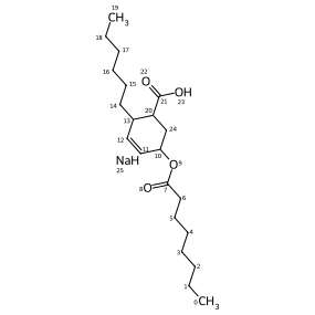 CCCCCCCC(=O)OC1C=CC(CCCCCC)C(C(=O)O)C1.[NaH]